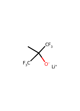 CC([O-])(C(F)(F)F)C(F)(F)F.[Li+]